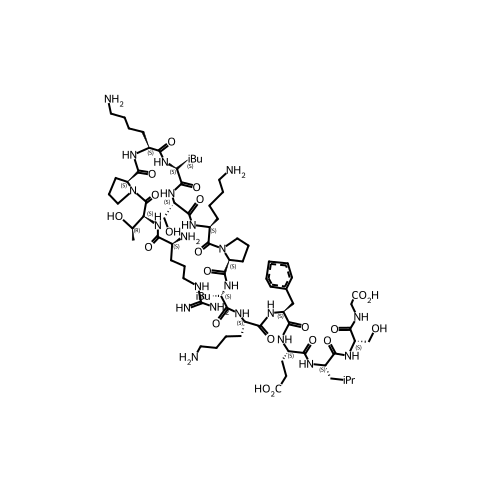 CC[C@H](C)[C@H](NC(=O)[C@H](CCCCN)NC(=O)[C@@H]1CCCN1C(=O)[C@@H](NC(=O)[C@@H](N)CCCNC(=N)N)[C@@H](C)O)C(=O)N[C@@H](CO)C(=O)N[C@@H](CCCCN)C(=O)N1CCC[C@H]1C(=O)N[C@H](C(=O)N[C@@H](CCCCN)C(=O)N[C@@H](Cc1ccccc1)C(=O)N[C@@H](CCC(=O)O)C(=O)N[C@@H](CC(C)C)C(=O)N[C@@H](CO)C(=O)NCC(=O)O)[C@@H](C)CC